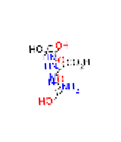 NC1(c2nnc(C(CCC(=O)O)NC(=O)N[C@@H](CO)C(=O)O)o2)CC(CO)C1